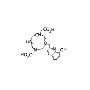 O=C(O)CN1CCNCCN(CC(=O)O)CCN(Cc2ccc3cccc(O)c3n2)CC1